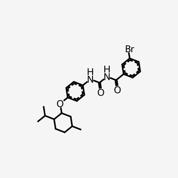 CC1CCC(C(C)C)C(Oc2ccc(NC(=O)NC(=O)c3cccc(Br)c3)cc2)C1